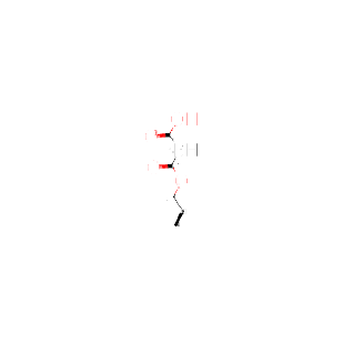 C=CCOC(=O)BC(=O)O